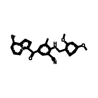 COc1ccc(CNc2c(C)cc(C(=O)c3ccc4c(Br)cccn34)cc2C#N)c(OC)c1